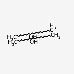 CCCCCCCCCCCC(O)CCCCCCCC.CCCCCCCCCCCC(O)CCCCCCCC